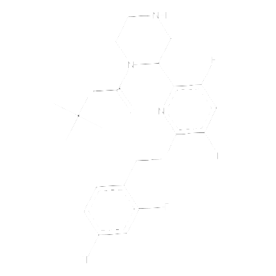 CC(C)(C)OC(=O)N1CCNCC1c1nc(OCc2ccc(Cl)cc2F)c(F)cc1F